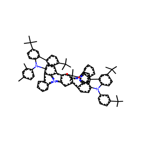 Cc1ccc(N(c2ccc(C(C)(C)C)cc2-c2ccc(C(C)(C)C)cc2)c2ccc3c4cc5c(cc4n4c6ccccc6c2c34)c2ccc(N(c3cccc(C(C)(C)C)c3)c3ccc(C(C)(C)C)cc3-c3ccc(C(C)(C)C)cc3)c3c4ccccc4n5c23)c(C)c1